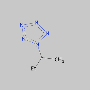 CCC(C)n1nnnn1